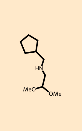 COC(CNCC1CCCC1)OC